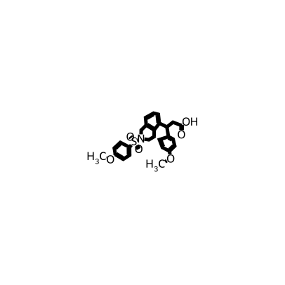 COc1ccc(C(CC(=O)O)c2cccc3c2CCN(S(=O)(=O)c2ccc(OC)cc2)C3)cc1